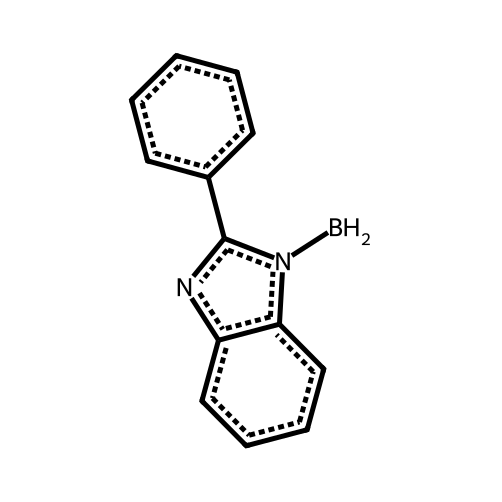 Bn1c(-c2ccccc2)nc2ccccc21